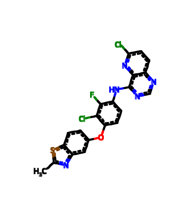 Cc1nc2cc(Oc3ccc(Nc4ncnc5ccc(Cl)nc45)c(F)c3Cl)ccc2s1